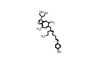 C=C1C=c2c(ncn2C(CO)CO)=C(C)N=C1C/C(=C/CC/C=C/c1ccc(O)cc1)CCC